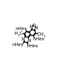 CCCCCCc1nc2c(C)c(CCCCCC)c3c4nonc4c(C)c(CCCCCC)c3c2nc1CCCCCC